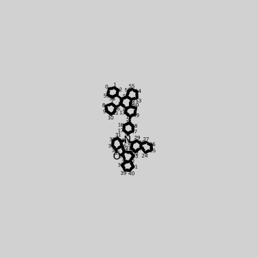 c1ccc(-c2c(-c3ccccc3)c3cc(-c4ccc(N(c5ccc6ccccc6c5)c5cccc6oc7c8ccccc8ccc7c56)cc4)ccc3c3ccccc23)cc1